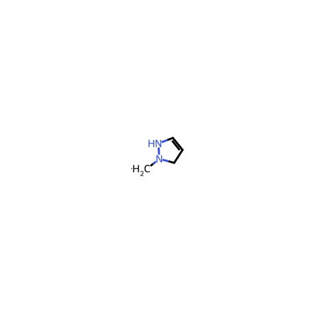 [CH2]N1CC=CN1